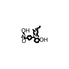 C=CCN1CC(C)N(C(c2ccc(C(=O)N(C)CCO)cc2)c2cccc(O)c2)CC1C